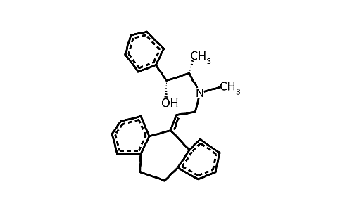 C[C@@H]([C@H](O)c1ccccc1)N(C)CC=C1c2ccccc2CCc2ccccc21